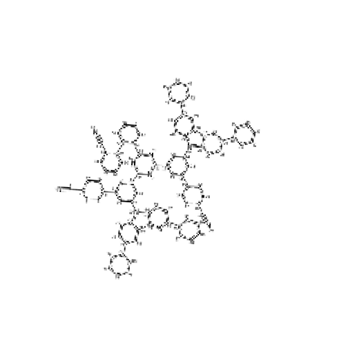 N#Cc1ccc(-c2cc(-c3nc(-c4cc(-c5ccc(C#N)cc5)cc(-n5c6ccc(-c7ccccc7)cc6c6cc(-c7ccccc7)ccc65)c4)nc(-c4ccccc4-c4ccccc4C#N)n3)cc(-n3c4ccc(-c5ccccc5)cc4c4cc(-c5ccccc5)ccc43)c2)cc1